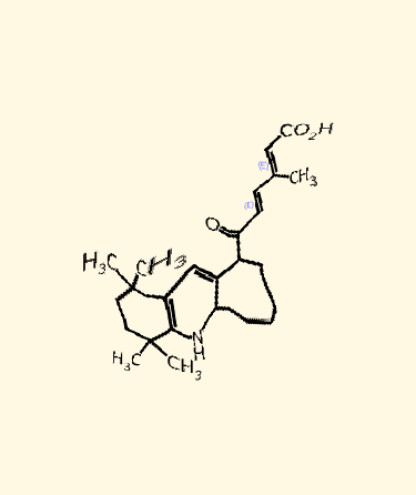 CC(/C=C/C(=O)C1CCCC2NC3=C(C=C21)C(C)(C)CCC3(C)C)=C\C(=O)O